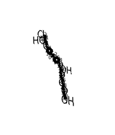 CC(C)(c1ccc(OC[C@H](O)CCl)cc1)c1ccc(OC[C@@H](O)COCCOCCOCCO)cc1